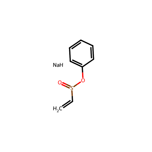 C=CS(=O)Oc1ccccc1.[NaH]